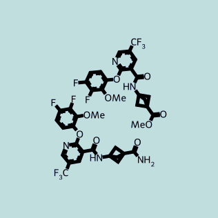 COC(=O)C12CC(NC(=O)c3cc(C(F)(F)F)cnc3Oc3ccc(F)c(F)c3OC)(C1)C2.COc1c(Oc2ncc(C(F)(F)F)cc2C(=O)NC23CC(C(N)=O)(C2)C3)ccc(F)c1F